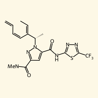 C=C/C=C\C(=C/C)[C@H](C)n1nc(C(=O)NC)cc1C(=O)Nc1nnc(C(F)(F)F)s1